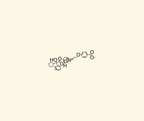 COC(=O)c1ccc(OCCC[N+]23CCC(CC2)[C@@H](OC(=O)[C@](O)(c2cccs2)C2CCCC2)C3)cc1